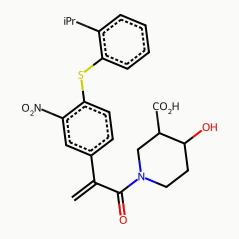 C=C(C(=O)N1CCC(O)C(C(=O)O)C1)c1ccc(Sc2ccccc2C(C)C)c([N+](=O)[O-])c1